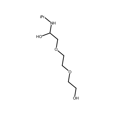 CC(C)NC(O)COCCOCCO